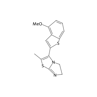 COc1cccc2sc(C3=C(C)SC4=NCCN43)cc12